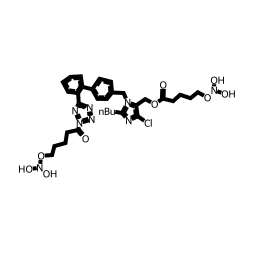 CCCCc1nc(Cl)c(COC(=O)CCCCON(O)O)n1Cc1ccc(-c2ccccc2-c2nnn(C(=O)CCCCON(O)O)n2)cc1